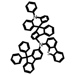 c1ccc(N2c3ccccc3C3(c4ccccc4-c4c(N(c5ccc6c(c5)C(c5ccccc5)(c5ccccc5)c5ccccc5-6)c5cccc6c5sc5ccccc56)cccc43)c3ccccc32)cc1